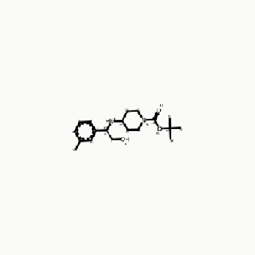 Cc1cccc([C@H](CO)NC2CCN(C(=O)OC(C)(C)C)CC2)c1